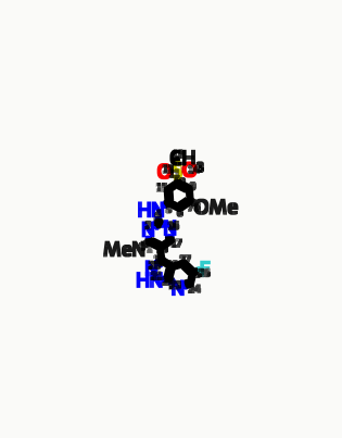 CNc1nc(Nc2cc(OC)cc(S(C)(=O)=O)c2)ncc1-c1n[nH]c2ncc(F)cc12